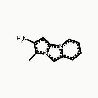 Cc1c(N)cc2n1cc1ccccn12